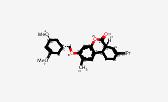 COC1=C[C@H](OC)C[C@H](COc2cc3c(cc2C)C2CCC(C(C)C)=C[C@H]2C(=O)O3)C1